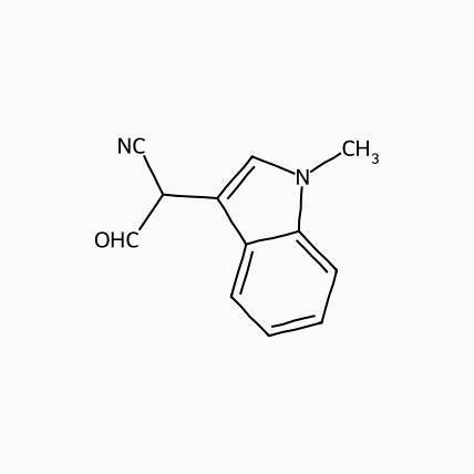 Cn1cc(C(C#N)C=O)c2ccccc21